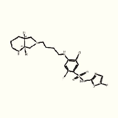 O=S(=O)(Nc1ncc(F)s1)c1cc(Cl)c(NCCCCN2C[C@H]3CCCN[C@H]3C2)cc1F